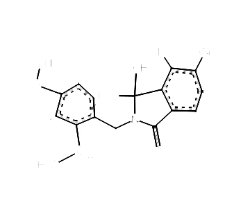 COc1ccc(CN2C(=O)c3ccc(Br)c(F)c3C2(C)C)c(OC)c1